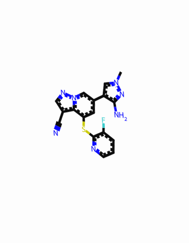 Cn1cc(-c2cc(Sc3ncccc3F)c3c(C#N)cnn3c2)c(N)n1